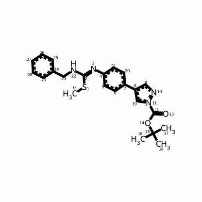 CS/C(=N\c1ccc(-c2cnn(C(=O)OC(C)(C)C)c2)cc1)NCc1ccccc1